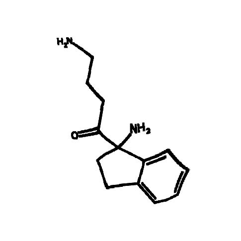 NCCCC(=O)C1(N)CCc2ccccc21